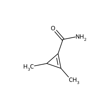 CC1=C(C(N)=O)C1C